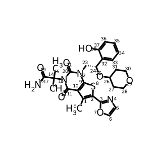 Cc1c(-c2ncco2)sc2c1c(=O)n(C(C)(C)C(N)=O)c(=O)n2C[C@@H](OC1CCOCC1)c1ccccc1O